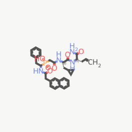 C=CC[C@H](NC(=O)[C@H](CC1CC1)NC(=O)CP(=O)(O)C(Cc1ccccc1)NC(=O)Cc1ccc2ccccc2c1)C(N)=O